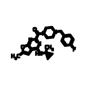 Cc1cc2c(NC3(C)CC3)nc(C(=O)N3CCN(Cc4ccc(F)cc4)CC3)nc2o1